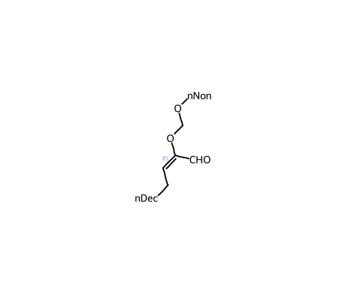 CCCCCCCCCCC/C=C(\C=O)OCOCCCCCCCCC